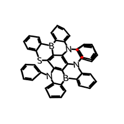 c1ccc(N2c3ccccc3B3c4ccccc4N(c4ccccc4)c4c3c2c2c3c4N(c4ccccc4)c4ccccc4B3c3ccccc3S2)cc1